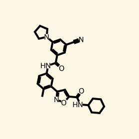 Cc1ccc(NC(=O)c2cc(C#N)cc(N3CCCC3)c2)cc1-c1cc(C(=O)NC2CCCCC2)on1